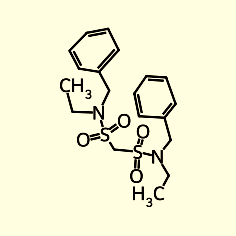 CCN(Cc1ccccc1)S(=O)(=O)CS(=O)(=O)N(CC)Cc1ccccc1